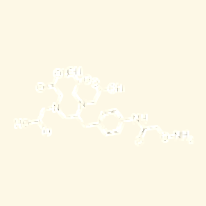 NOCC(=O)Nc1ccc(CC(CN(CC(=O)O)CC(=O)O)N(CC(=O)O)CC(=O)O)cc1